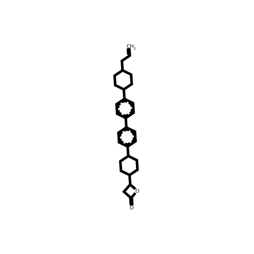 C=CCC1CCC(c2ccc(-c3ccc(C4CCC(C5CC(=O)O5)CC4)cc3)cc2)CC1